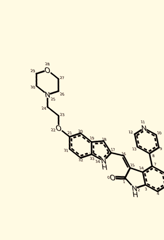 O=C1Nc2cccc(-c3ccncc3)c2C1=Cc1cc2cc(OCCN3CCOCC3)ccc2[nH]1